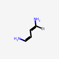 CC/C(N)=C\C=C/N